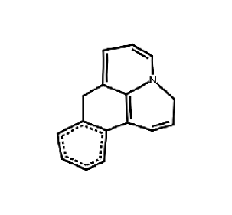 C1=CN2CC=CC3=C2C(=C1)Cc1ccccc13